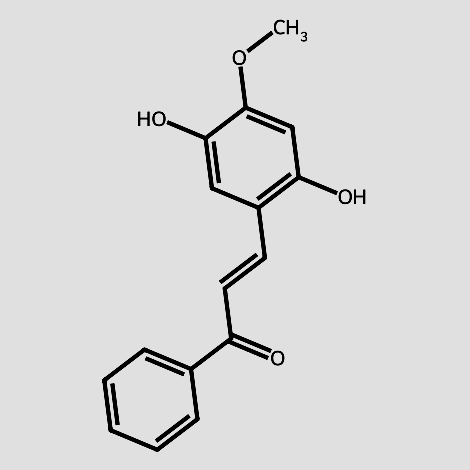 COc1cc(O)c(C=CC(=O)c2ccccc2)cc1O